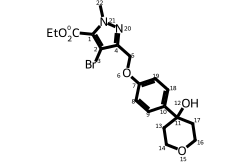 CCOC(=O)c1c(Br)c(COc2ccc(C3(O)CCOCC3)cc2)nn1C